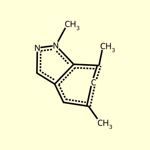 Cc1cc(C)c2c(cnn2C)c1